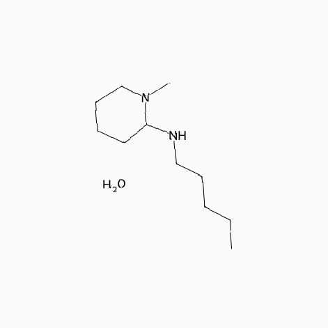 CCCCCNC1CCCCN1C.O